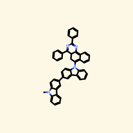 Cn1c2ccccc2c2cc(-c3ccc4c(c3)c3ccccc3n4C3=c4ccccc4=C4N=C(c5ccccc5)N=C(c5ccccc5)C4C3)ccc21